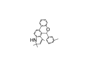 CC1=CC(C)(C)Nc2ccc3c(c21)C(c1cccc(C)c1)Oc1ccccc1-3